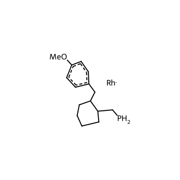 COc1ccc(CC2CCCCC2CP)cc1.[Rh]